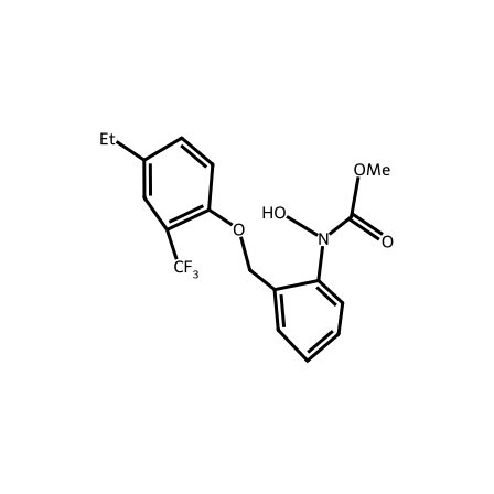 CCc1ccc(OCc2ccccc2N(O)C(=O)OC)c(C(F)(F)F)c1